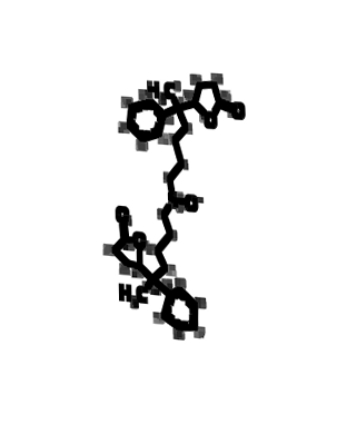 CC(CCCC[S+]([O-])CCCCC(C)(c1ccccc1)C1CCC(=O)O1)(c1ccccc1)C1CCC(=O)O1